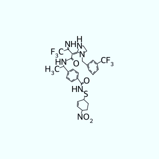 CC(NC(=O)/C(C(=N)C(F)(F)F)=C1/NCCN1Cc1cccc(C(F)(F)F)c1)c1ccc(C(=O)NSC2C=CC([N+](=O)[O-])CC2)cc1